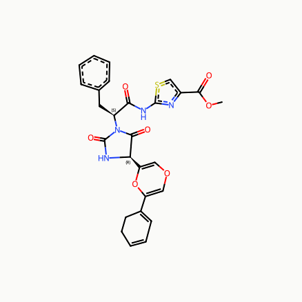 COC(=O)c1csc(NC(=O)[C@H](Cc2ccccc2)N2C(=O)N[C@H](C3=COC=C(C4=CC=CCC4)O3)C2=O)n1